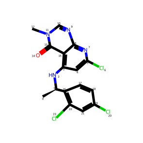 C[C@@H](Nc1cc(Cl)nc2ncn(C)c(=O)c12)c1ccc(Cl)cc1Cl